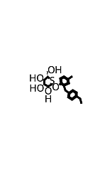 CCc1ccc(Cc2cc(C)ccc2O[C@H]2S[C@@H](CO)[C@@H](O)[C@H](O)[C@H]2O)cc1